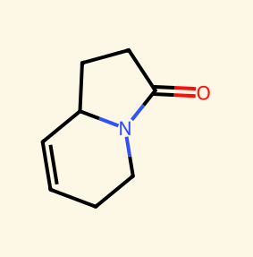 O=C1CCC2C=CCCN12